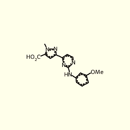 COc1cccc(Nc2nccc(-c3cc(C(=O)O)n(C)n3)n2)c1